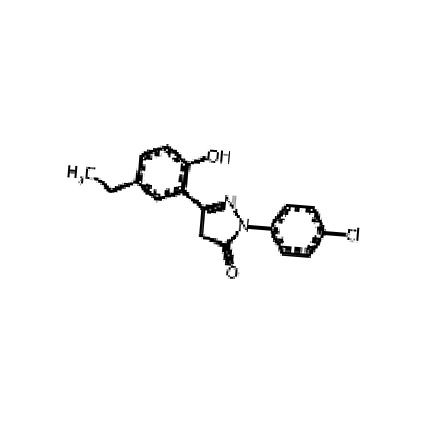 CCc1ccc(O)c(C2=NN(c3ccc(Cl)cc3)C(=O)C2)c1